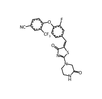 N#Cc1ccc(Oc2ccc(C=C3SC(N4CCNC(=O)C4)=NC3=O)cc2F)c(C(F)(F)F)c1